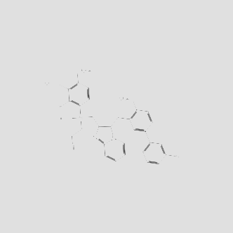 COc1ccc(-c2cccc(N)c2)cc1CC1C(C[N+](C=O)(CCC(C)C)c2ccc(OC)c(OC)c2Cl)N=C2C=CC=CN21